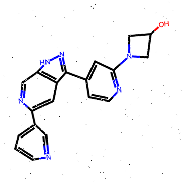 OC1CN(c2cc(-c3n[nH]c4cnc(-c5cccnc5)cc34)ccn2)C1